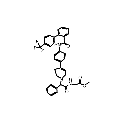 COC(=O)CNC(=O)C(c1ccccc1)N1CC=C(c2ccc(NC(=O)c3ccccc3-c3ccc(C(F)(F)F)cc3)cc2)CC1